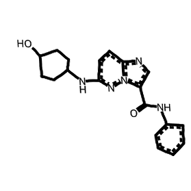 O=C(Nc1ccccc1)c1cnc2ccc(NC3CCC(O)CC3)nn12